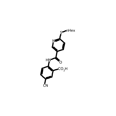 CCCCCCSc1ccc(C(=O)Nc2ccc(C#N)cc2C(=O)O)cn1